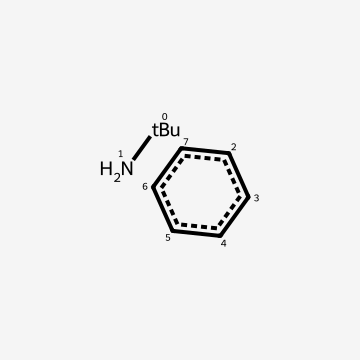 CC(C)(C)N.c1ccccc1